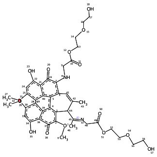 COc1c2c3c4c(c(NCC(=O)OCCOCCO)c(=O)c5c(O)cc(OC)c(c6c(OC)cc(O)c(c1=O)c63)c54)C=C(C)C2/C(C)=N/CC(=O)OCCOCCO